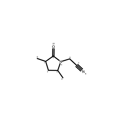 CC1CC(C)N(CC#N)C1=O